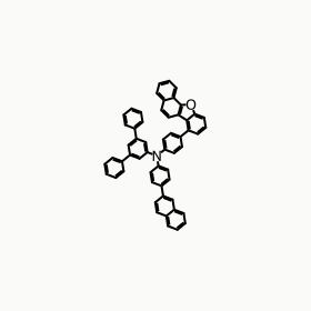 c1ccc(-c2cc(-c3ccccc3)cc(N(c3ccc(-c4ccc5ccccc5c4)cc3)c3ccc(-c4cccc5oc6c7ccccc7ccc6c45)cc3)c2)cc1